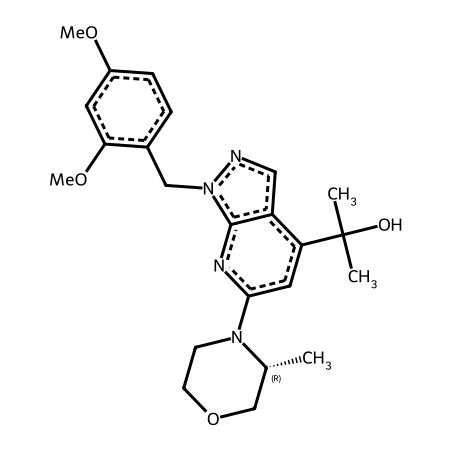 COc1ccc(Cn2ncc3c(C(C)(C)O)cc(N4CCOC[C@H]4C)nc32)c(OC)c1